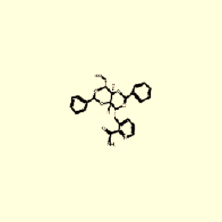 NC(=O)c1ncccc1C[C@H]1OC(c2ccccc2)O[C@H]2[C@H]1OC(c1ccccc1)O[C@@H]2CO